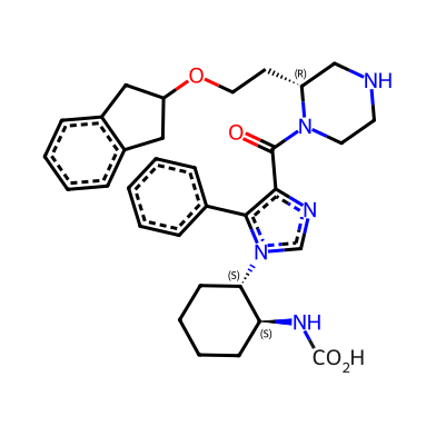 O=C(O)N[C@H]1CCCC[C@@H]1n1cnc(C(=O)N2CCNC[C@H]2CCOC2Cc3ccccc3C2)c1-c1ccccc1